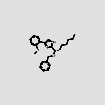 CCCCCC[C@H](NCc1ccccc1)c1nc(-c2ccccc2OC)c[nH]1